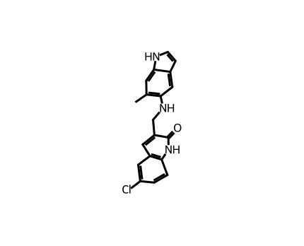 Cc1cc2[nH]ccc2cc1NCc1cc2cc(Cl)ccc2[nH]c1=O